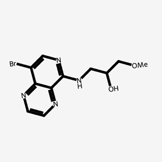 COCC(O)CNc1ncc(Br)c2nccnc12